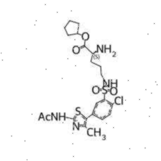 CC(=O)Nc1nc(C)c(-c2ccc(Cl)c(S(=O)(=O)NCCC[C@H](N)C(=O)OC3CCCC3)c2)s1